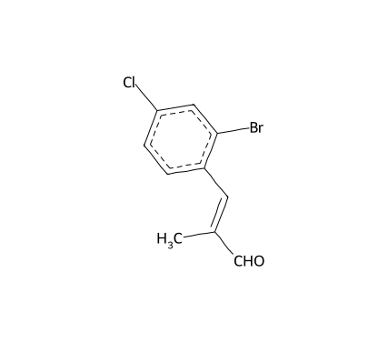 C/C(C=O)=C\c1ccc(Cl)cc1Br